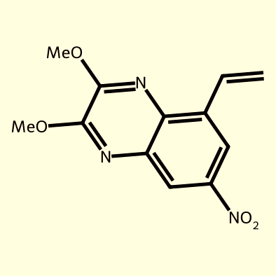 C=Cc1cc([N+](=O)[O-])cc2nc(OC)c(OC)nc12